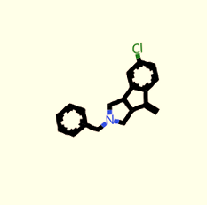 C=C1c2ccc(Cl)cc2C2CN(Cc3ccccc3)CC12